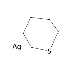 C1CCSCC1.[Ag]